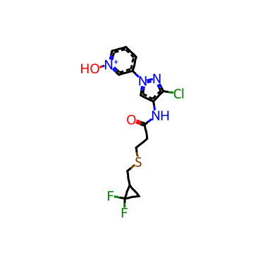 O=C(CCSCC1CC1(F)F)Nc1cn(-c2ccc[n+](O)c2)nc1Cl